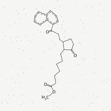 COC(=O)CCCCCCC1C(=O)CCC1CCC(=O)c1cccc2ccccc12